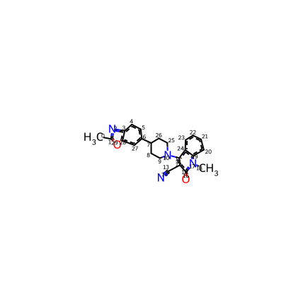 Cc1nc2ccc(C3CCN(c4c(C#N)c(=O)n(C)c5ccccc45)CC3)cc2o1